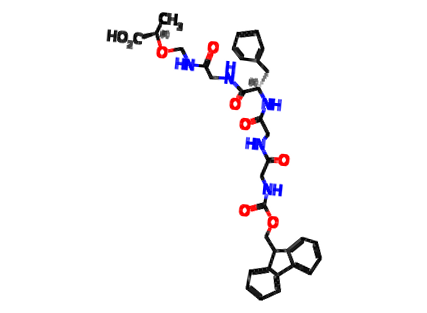 C[C@@H](OCNC(=O)CNC(=O)[C@H](Cc1ccccc1)NC(=O)CNC(=O)CNC(=O)OCC1c2ccccc2-c2ccccc21)C(=O)O